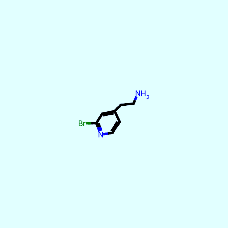 NCCc1ccnc(Br)c1